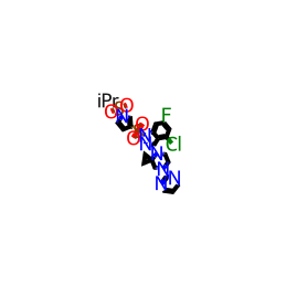 CC(C)S(=O)(=O)n1ccc(S(=O)(=O)n2nc(N3CCN(c4ncccn4)CC34CC4)c3c(Cl)cc(F)cc32)c1